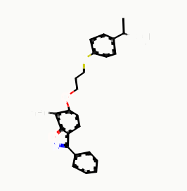 CCCCc1c(OCCCSc2ccc(C(C)C(=O)O)cc2)ccc2c(-c3ccccc3)noc12